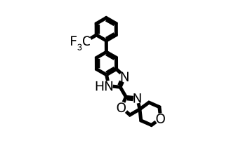 FC(F)(F)c1ccccc1-c1ccc2[nH]c(C3=NC4(CCOCC4)CO3)nc2c1